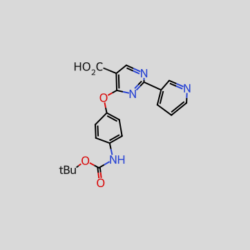 CC(C)(C)OC(=O)Nc1ccc(Oc2nc(-c3cccnc3)ncc2C(=O)O)cc1